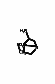 CS(=O)(=O)O.NC1CN2CCC1CC2